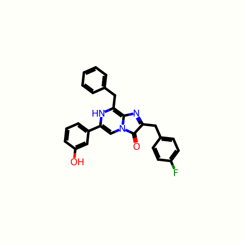 O=c1c(Cc2ccc(F)cc2)nc2c(Cc3ccccc3)[nH]c(-c3cccc(O)c3)cn1-2